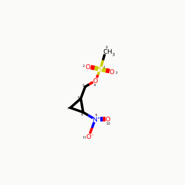 CS(=O)(=O)OCC1CC1[N+](=O)[O-]